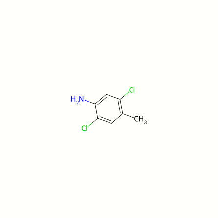 Cc1cc(Cl)c(N)cc1Cl